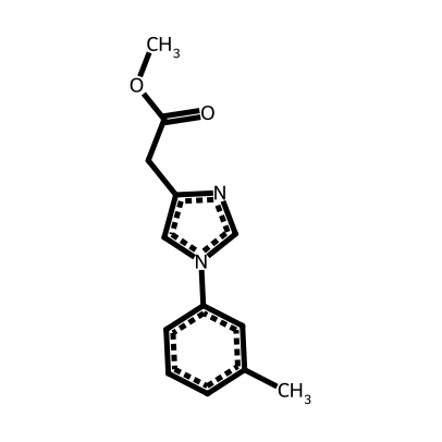 COC(=O)Cc1cn(-c2cccc(C)c2)cn1